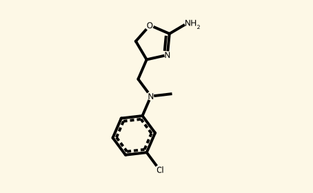 CN(CC1COC(N)=N1)c1cccc(Cl)c1